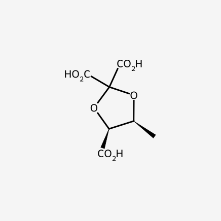 C[C@@H]1OC(C(=O)O)(C(=O)O)O[C@@H]1C(=O)O